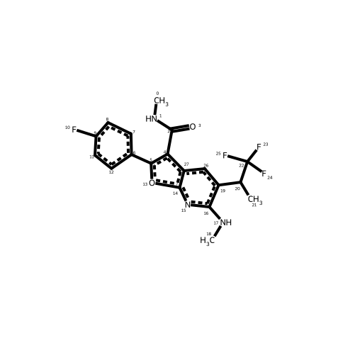 CNC(=O)c1c(-c2ccc(F)cc2)oc2nc(NC)c(C(C)C(F)(F)F)cc12